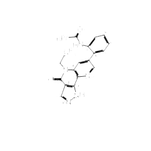 CCCC(=O)Nc1ccccc1-c1cnc2c3[nH]ncc3c(=O)n(CC(F)(F)F)c2c1